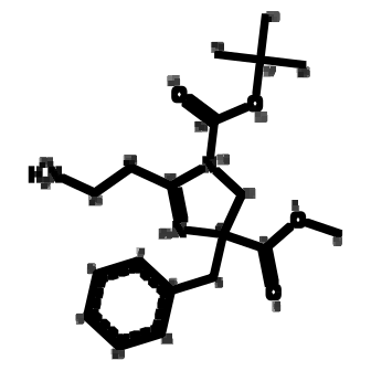 COC(=O)C1(Cc2ccccc2)CN(C(=O)OC(C)(C)C)C(CCN)=N1